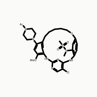 COc1cc(N2CCN(C(C)=O)CC2)c2cc1Nc1ncc(Cl)c(n1)Nc1ccc(cc1N(C)S(C)(=O)=O)OCCCCC2